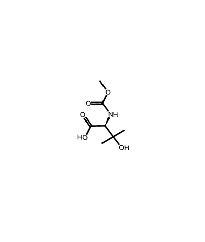 COC(=O)N[C@H](C(=O)O)C(C)(C)O